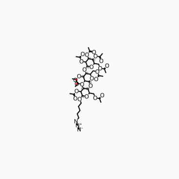 CC(=O)OCC1O[C@@H](OCCCCCN=[N+]=[N-])C(OC(C)=O)[C@@H](C)[C@@H]1O[C@@H]1OC(COC(C)=O)[C@@H](O[C@@H]2OC(COC(C)=O)[C@@H](OC(C)=O)[C@H](OC(C)=O)C2OC(C)=O)[C@H](OC(C)=O)C1OC(C)=O